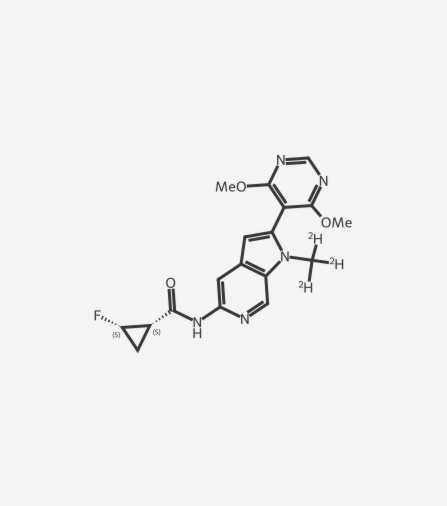 [2H]C([2H])([2H])n1c(-c2c(OC)ncnc2OC)cc2cc(NC(=O)[C@@H]3C[C@@H]3F)ncc21